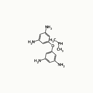 CPC.Nc1cc(N)cc(Oc2cc(N)cc(N)c2)c1